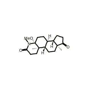 CO[C@]12CC[C@H]3[C@@H]4CCC(=O)[C@@]4(C)CC[C@@H]3[C@@]1(C)CCC(=O)N2C